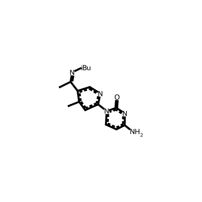 CCC(C)/N=C(/C)c1cnc(-n2ccc(N)nc2=O)cc1C